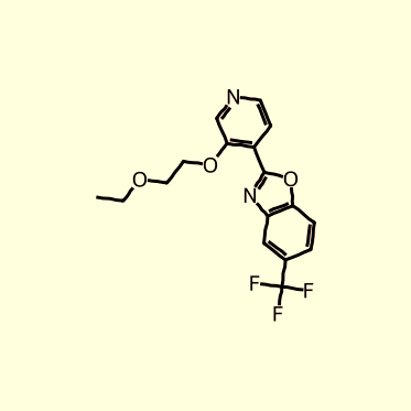 CCOCCOc1cnccc1-c1nc2cc(C(F)(F)F)ccc2o1